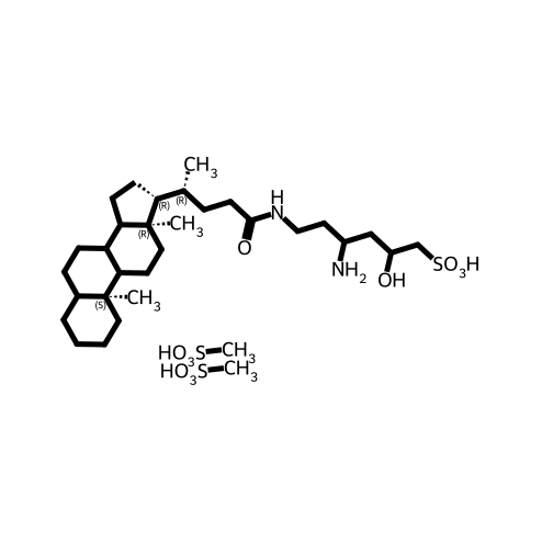 CS(=O)(=O)O.CS(=O)(=O)O.C[C@H](CCC(=O)NCCC(N)CC(O)CS(=O)(=O)O)[C@H]1CCC2C3CCC4CCCC[C@]4(C)C3CC[C@@]21C